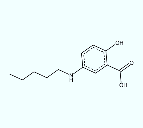 CCCCCNc1ccc(O)c(C(=O)O)c1